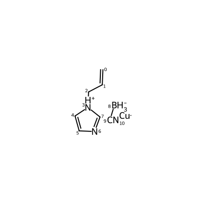 C=CC[NH+]1C=CN=C1.[BH3-]C#N.[Cu]